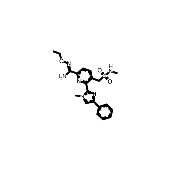 CCO/N=C(\N)c1ccc(CS(=O)(=O)NC)c(-c2nc(-c3ccccc3)cn2C)n1